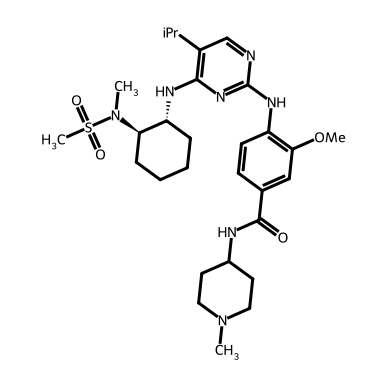 COc1cc(C(=O)NC2CCN(C)CC2)ccc1Nc1ncc(C(C)C)c(N[C@@H]2CCCC[C@H]2N(C)S(C)(=O)=O)n1